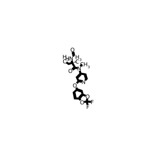 CC[C@@](C)(NC=O)C(=O)N(C)c1ccnc(Oc2ccc3c(c2)OC(F)(F)O3)c1